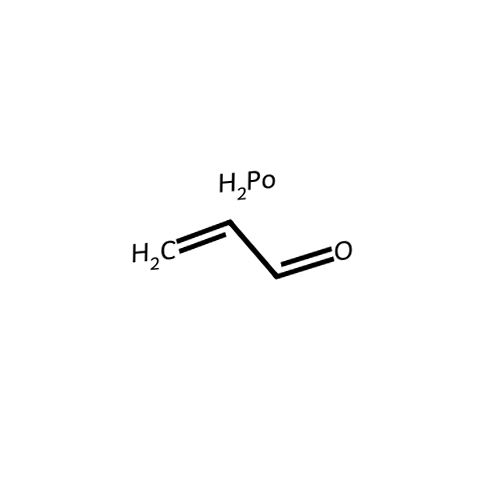 C=CC=O.[PoH2]